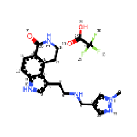 Cn1cc(CNCCc2c[nH]c3ccc4c(c23)CCNC4=O)cn1.O=C(O)C(F)(F)F